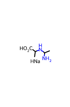 CC(N)NC(C)C(=O)O.[NaH]